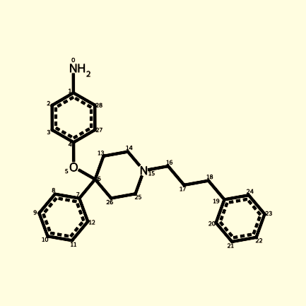 Nc1ccc(OC2(c3ccccc3)CCN(CCCc3ccccc3)CC2)cc1